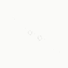 C=CC(=O)CCCCCOC(=O)Oc1ccc(C(=O)Oc2ccc(C(=O)O[C@H]3COC4C3OC[C@@H]4OC(C)=O)cc2)cc1